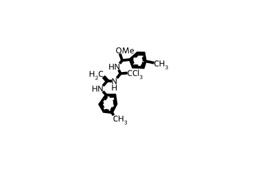 C=C(Nc1ccc(C)cc1)NC(NC(OC)c1ccc(C)cc1)C(Cl)(Cl)Cl